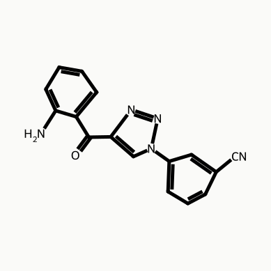 N#Cc1cccc(-n2cc(C(=O)c3ccccc3N)nn2)c1